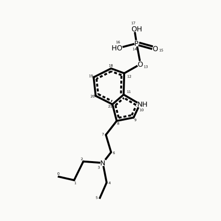 CCCN(CC)CCc1c[nH]c2c(OP(=O)(O)O)cccc12